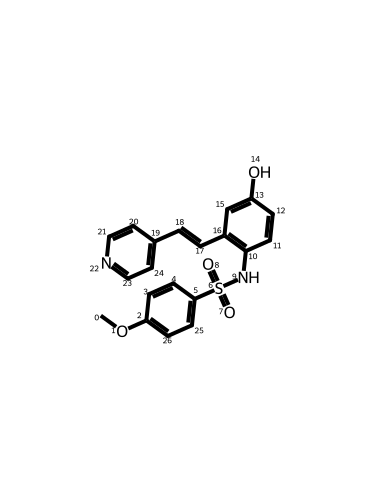 COc1ccc(S(=O)(=O)Nc2ccc(O)cc2/C=C/c2ccncc2)cc1